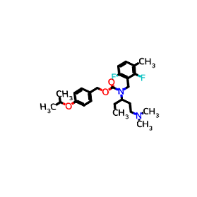 CCC(CCN(C)C)N(Cc1c(F)ccc(C)c1F)C(=O)OCc1ccc(OC(C)C)cc1